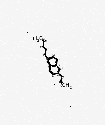 C=CCc1ccc2cc(CCCCC)ccc2c1